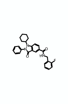 O=C(NCc1ccccc1F)c1ccc2c(c1)c(=O)n(-c1ccccc1)n2C1CCCCC1